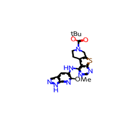 COc1nc2[nH]ncc2cc1Nc1ncnc2sc3c(c12)CCN(C(=O)OC(C)(C)C)C3